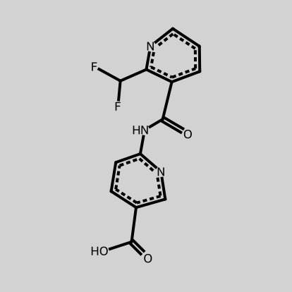 O=C(O)c1ccc(NC(=O)c2cccnc2C(F)F)nc1